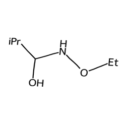 CCONC(O)C(C)C